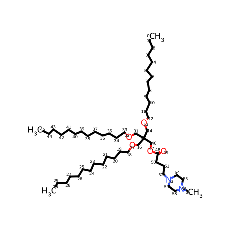 CCCCCCCCCCCCCOCC(COCCCCCCCCCCCCC)(COCCCCCCCCCCCCC)COC(=O)CCCN1CCN(C)CC1